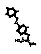 CN[C@@H](Cc1ccc(OCc2ccccc2)cc1)C(=O)O